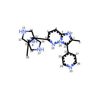 Cc1nc2ccc(C3NC(C)C45CNCC34CNC5)nn2c1-c1ccncc1